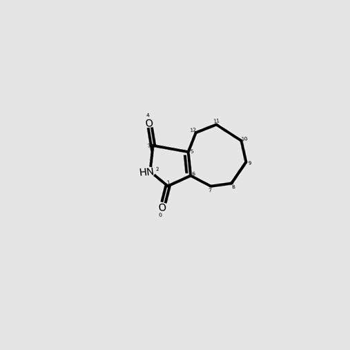 O=C1NC(=O)C2=C1CCCCCC2